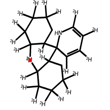 [2H]C1=C([2H])C([2H])=C([2H])C(C2([2H])CC([2H])([2H])C([2H])([2H])C([2H])([2H])C2([2H])[2H])(C2([2H])CC([2H])([2H])C([2H])([2H])C([2H])([2H])C2([2H])[2H])N1